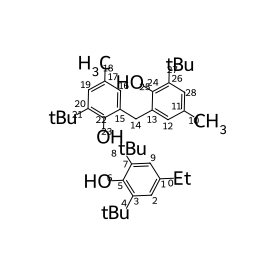 CCc1cc(C(C)(C)C)c(O)c(C(C)(C)C)c1.Cc1cc(Cc2cc(C)cc(C(C)(C)C)c2O)c(O)c(C(C)(C)C)c1